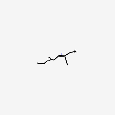 CCOC/C=C(\C)CBr